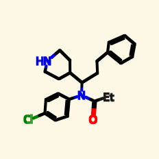 CCC(=O)N(c1ccc(Cl)cc1)C(CCc1ccccc1)C1CCNCC1